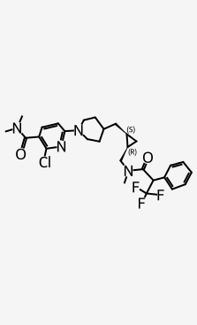 CN(C)C(=O)c1ccc(N2CCC(C[C@H]3C[C@H]3CN(C)C(=O)C(c3ccccc3)C(F)(F)F)CC2)nc1Cl